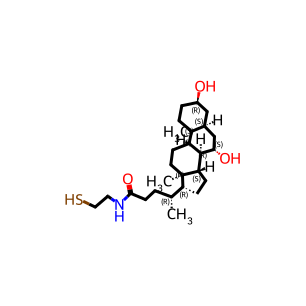 C[C@H](CCC(=O)NCCS)[C@H]1CC[C@H]2[C@@H]3[C@@H](O)C[C@@H]4C[C@H](O)CC[C@]4(C)[C@H]3CC[C@]12C